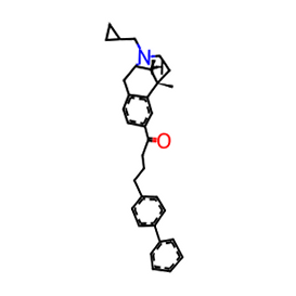 C[C@H]1C2Cc3ccc(C(=O)CCCc4ccc(-c5ccccc5)cc4)cc3[C@@]1(C)CCN2CC1CC1